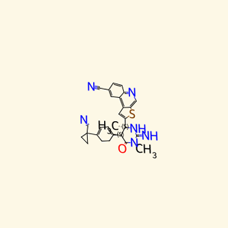 CN1C(=N)N[C@](C)(c2cc3c(cnc4ccc(C#N)cc43)s2)[C@H](C2=CC=C(C3(C#N)CC3)CC2)C1=O